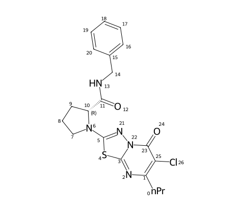 CCCc1nc2sc(N3CCC[C@@H]3C(=O)NCc3ccccc3)nn2c(=O)c1Cl